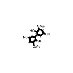 COc1cc(C#N)cc(-c2cc(C#N)cc(OC)c2O)c1O